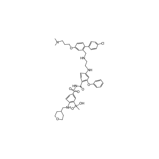 CN(C)CCCOc1ccc(-c2ccc(Cl)cc2)c(CNCCNc2ccc(C(=O)NS(=O)(=O)c3ccc(NCC4CCOCC4)c([N+](C)([O-])O)c3)c(Oc3ccccc3)c2)c1